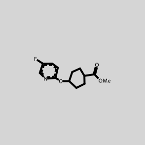 COC(=O)C1CCC(Oc2ccc(F)cn2)CC1